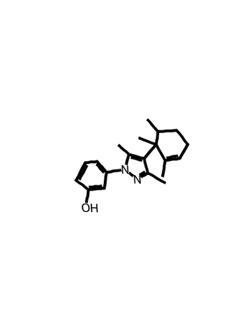 CC1=CCCC(C)C1(C)c1c(C)nn(-c2cccc(O)c2)c1C